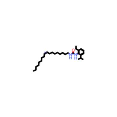 CCCCCCCC/C=C\CCCCCCCCNC(=O)Nc1c(CC)cccc1C(C)C